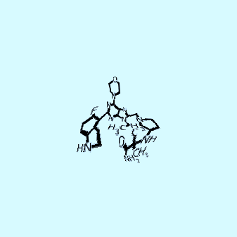 CCn1c(CN2CCC(NC(C)(C)C(N)=O)C2)nc2c(N3CCOCC3)nc(-c3c(F)ccc4[nH]ccc34)nc21